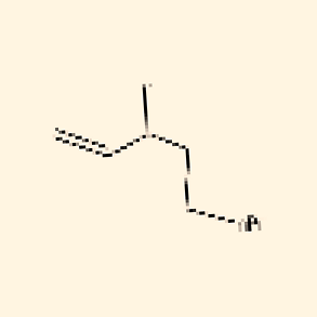 [C]C(C=C)CCCCC